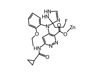 CCOc1ccccc1N(c1cc(NC(=O)C2CC2)nnc1C(=O)[O][Zn])C1(CCF)N=CNN1